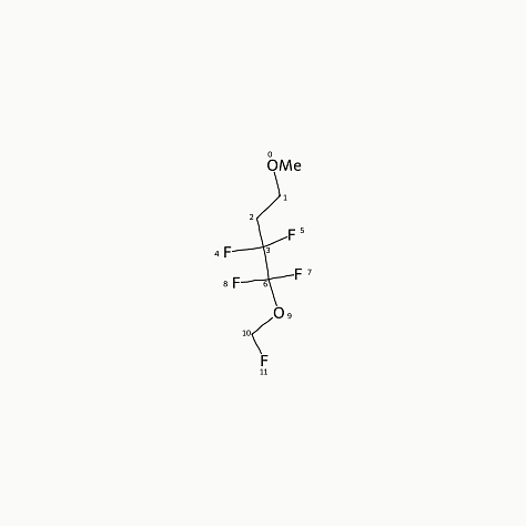 COCCC(F)(F)C(F)(F)OCF